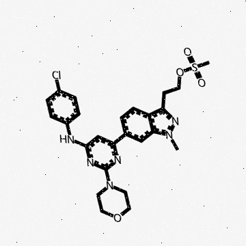 Cn1nc(CCOS(C)(=O)=O)c2ccc(-c3cc(Nc4ccc(Cl)cc4)nc(N4CCOCC4)n3)cc21